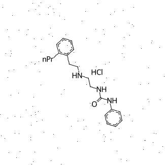 CCCc1ccccc1CCNCCNC(=O)Nc1ccccc1.Cl